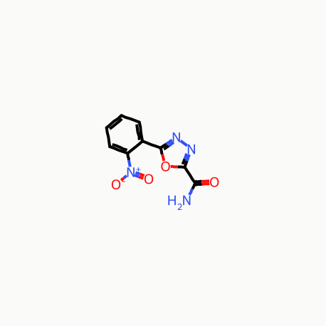 NC(=O)c1nnc(-c2ccccc2[N+](=O)[O-])o1